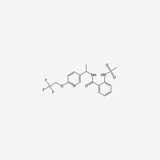 CC(NC(=O)c1ccccc1NS(C)(=O)=O)c1ccc(OCC(F)(F)F)nc1